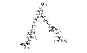 CCCC(=O)NC(CCNCCSSCCNC(=O)C(N)CCCNC(=N)N)CNCCSSCCNC(=O)C(N)CCCNC(=N)N